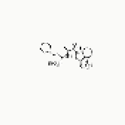 CCOC(=O)C(CCC1CCCCC1)N[C@@H](C)C(=O)N1CC(C(=O)O)[C@H]2CCCC[C@@H]21